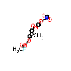 C=C(F)C(=O)OCCCOc1ccc2c(c1)C(C)c1cc(C(=O)Oc3ccc(OCCCN4C(=O)C=CC4=O)cc3)ccc1-2